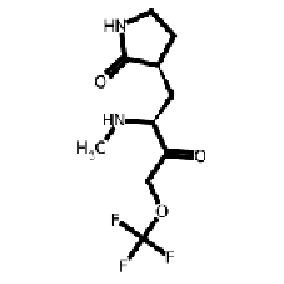 CN[C@@H](C[C@@H]1CCNC1=O)C(=O)COC(F)(F)F